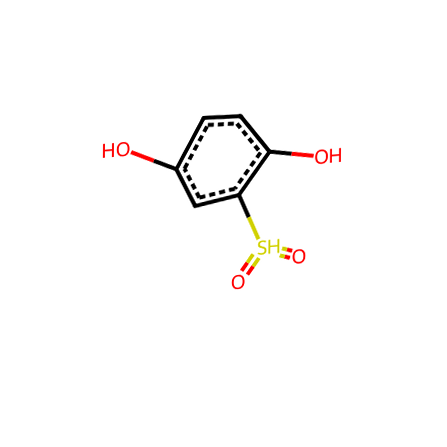 O=[SH](=O)c1cc(O)ccc1O